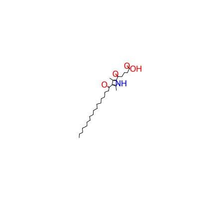 CCCCCCCCCCCCCCCCCC(=O)c1c(C)[nH]c(C(=O)CCCC(=O)O)c1C